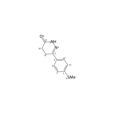 CSc1ccc(C2=NNC(=O)CC2)cc1